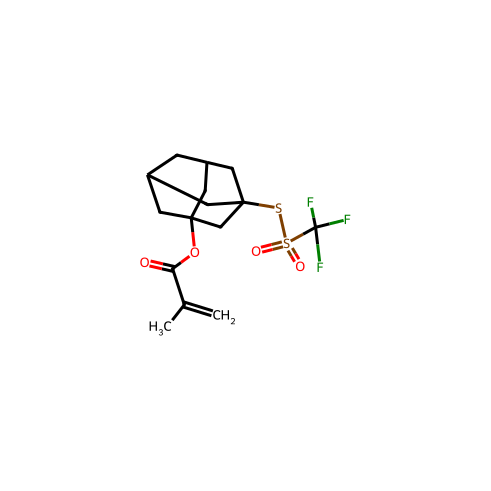 C=C(C)C(=O)OC12CC3CC(C1)CC(SS(=O)(=O)C(F)(F)F)(C3)C2